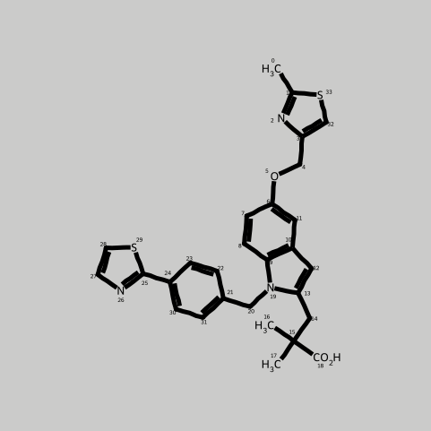 Cc1nc(COc2ccc3c(c2)cc(CC(C)(C)C(=O)O)n3Cc2ccc(-c3nccs3)cc2)cs1